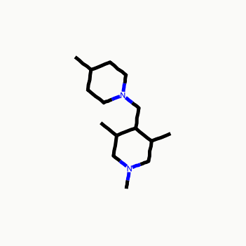 CC1CCN(CC2C(C)CN(C)CC2C)CC1